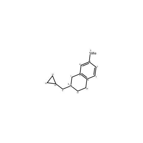 CSc1ccc2c(c1)CN(CC1CC1)CC2